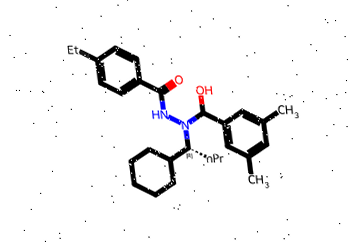 CCC[C@H](C1CCCCC1)N(NC(=O)c1ccc(CC)cc1)C(O)c1cc(C)cc(C)c1